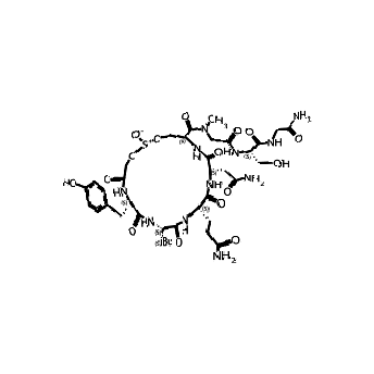 CC[C@H](C)[C@@H]1NC(=O)[C@H](Cc2ccc(O)cc2)NC(=O)CC[S+]([O-])CC[C@@H](C(=O)N(C)CC(=O)N[C@@H](CO)C(=O)NCC(N)=O)NC(=O)[C@H](CC(N)=O)NC(=O)[C@H](CCC(N)=O)NC1=O